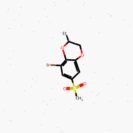 CCC1COc2cc(S(C)(=O)=O)cc(Br)c2O1